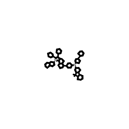 CC1(C)c2ccccc2-c2ccc(N(c3ccc(-c4ccccc4)cc3)c3ccc(-c4cccc5c4ccc4c(-c6ccccc6)c(-c6ccccc6)n(-c6ccc7ccccc7c6)c45)cc3)cc21